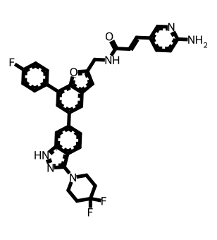 Nc1ccc(/C=C/C(=O)NCc2cc3cc(-c4ccc5c(N6CCC(F)(F)CC6)n[nH]c5c4)cc(-c4ccc(F)cc4)c3o2)cn1